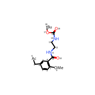 COc1ccc(CC(C)=O)cc1C(=O)NCCNC(=O)OC(C)(C)C